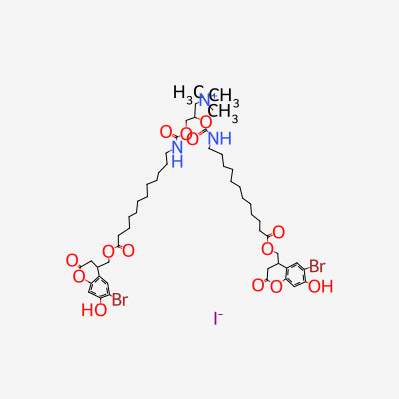 C[N+](C)(C)CC(COC(=O)NCCCCCCCCCCCC(=O)OCC1CC(=O)Oc2cc(O)c(Br)cc21)OC(=O)NCCCCCCCCCCCC(=O)OCC1CC(=O)Oc2cc(O)c(Br)cc21.[I-]